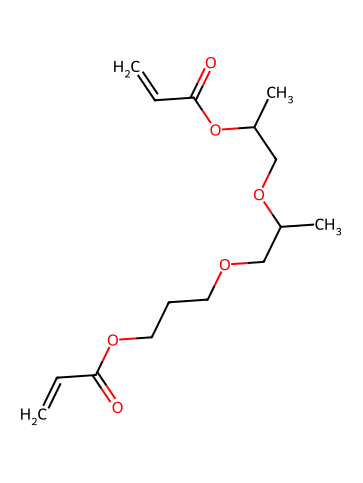 C=CC(=O)OCCCOCC(C)OCC(C)OC(=O)C=C